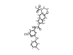 Cc1cccc(Oc2cc(NC(=O)c3cc4cc5c(cc4s3)OCCC5S(C)(=O)=O)cc(Cl)n2)c1